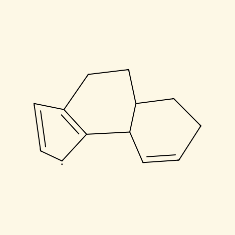 [CH]1C=CC2=C1C1C=CCCC1CC2